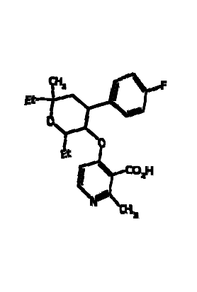 CCC1OC(C)(CC)CC(c2ccc(F)cc2)C1Oc1ccnc(C)c1C(=O)O